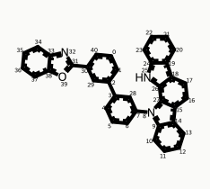 c1cc(-c2cccc(-n3c4ccccc4c4ccc5c6ccccc6[nH]c5c43)c2)cc(-c2nc3ccccc3o2)c1